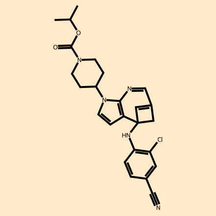 CC(C)OC(=O)N1CCC(n2ccc3c2N=CC2=CC3(Nc3ccc(C#N)cc3Cl)C2)CC1